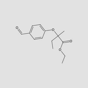 CCOC(=O)C(C)(CC)Oc1ccc(C=O)cc1